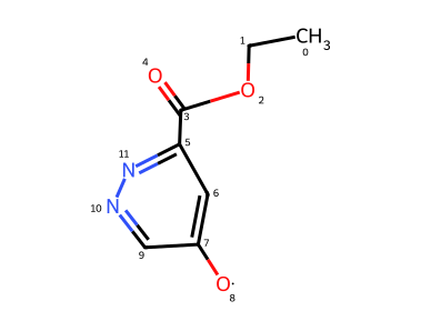 CCOC(=O)c1cc([O])cnn1